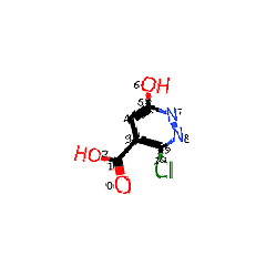 O=C(O)c1cc(O)nnc1Cl